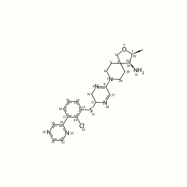 C[C@@H]1OCC2(CCN(C3=NCC(Sc4cccc(-c5cnccn5)c4Cl)N=C3)CC2)[C@@H]1N